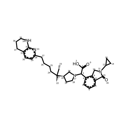 O=C(O)C(c1cccc2c1CN(C1CC1)C2=O)N1CC[C@@H](C(F)(F)CCCCc2ccc3c(n2)NCCC3)C1